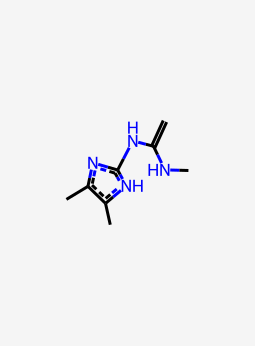 C=C(NC)Nc1nc(C)c(C)[nH]1